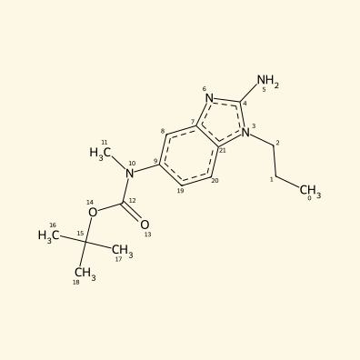 CCCn1c(N)nc2cc(N(C)C(=O)OC(C)(C)C)ccc21